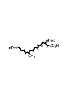 CCCCCCCCCCCCCCC(C)CCCCCCCC(CCCCCC)CC(=O)O